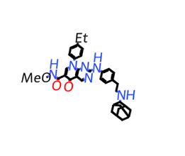 CCc1ccc(-n2cc(C(=O)NOC)c(=O)c3cnc(Nc4ccc(CCNC5C6CC7CC(C6)CC5C7)cc4)nc32)cc1